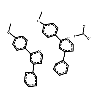 COc1ccc(-c2cc(-c3ccccc3)cc[s+]2)cc1.COc1ccc(-c2cc(-c3ccccc3)cc[s+]2)cc1.[O-]B([O-])F